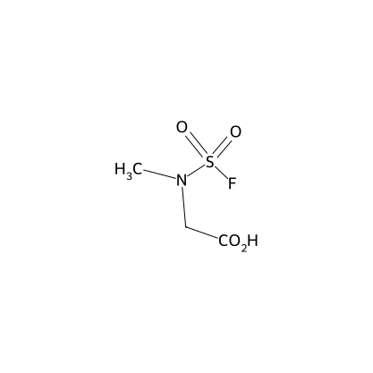 CN(CC(=O)O)S(=O)(=O)F